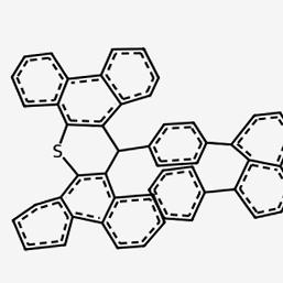 c1ccc(-c2cccc3cccc(-c4ccc(C5c6c(c7ccccc7c7ccccc67)Sc6c5c5ccccc5c5ccccc65)cc4)c23)cc1